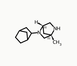 C[C@@]12C[C@@H](CN1)N(C1CC3CCC1C3)C2